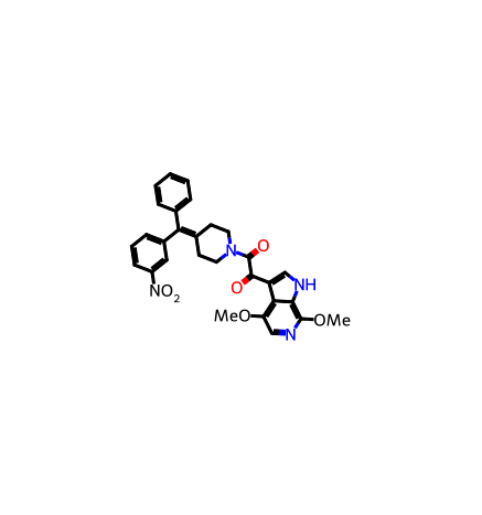 COc1ncc(OC)c2c(C(=O)C(=O)N3CCC(=C(c4ccccc4)c4cccc([N+](=O)[O-])c4)CC3)c[nH]c12